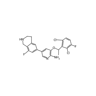 CC(Oc1cc(-c2cc(F)c3c(c2)CCNC3)cnc1N)c1c(Cl)ccc(F)c1Cl